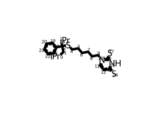 CC(C)CC(SCCCCCCn1ccc(=S)[nH]c1=S)(c1ccccc1)C(C)C